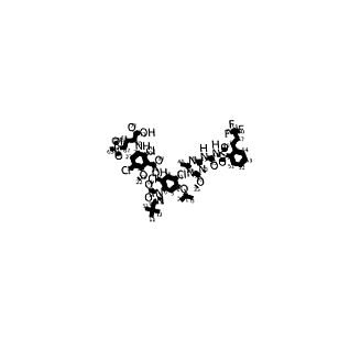 CC(C)Oc1cc(-n2nc(C(C)(C)C)oc2=O)c(Cl)cc1Cl.COc1c(Cl)ccc(Cl)c1C(=O)O.COc1nc(C)nc(NC(=O)NS(=O)(=O)c2ccccc2CCC(F)(F)F)n1.CP(=O)(O)CCC(N)C(=O)O